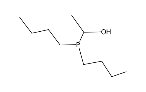 CCCCP(CCCC)C(C)O